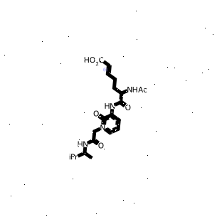 CC(=O)NC(CC/C=C/C(=O)O)C(=O)Nc1cccn(CC(=O)NC(C)C(C)C)c1=O